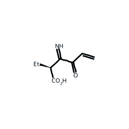 C=CC(=O)C(=N)[C@H](CC)C(=O)O